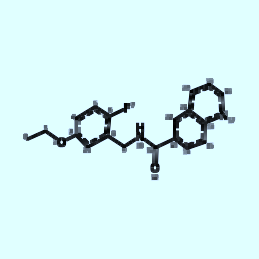 CCOc1ccc(F)c(CNC(=O)c2ccc3ncccc3c2)c1